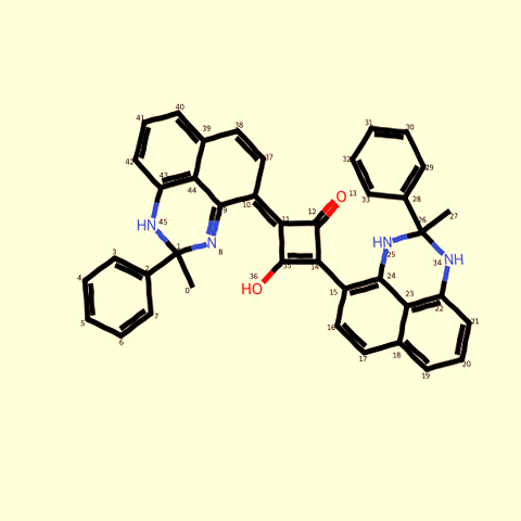 CC1(c2ccccc2)N=c2/c(=C3/C(=O)C(c4ccc5cccc6c5c4NC(C)(c4ccccc4)N6)=C3O)ccc3cccc(c23)N1